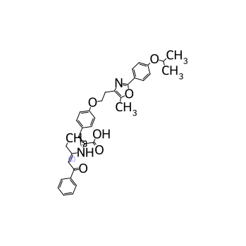 CC/C(=C/C(=O)c1ccccc1)N[C@@H](Cc1ccc(OCCc2nc(-c3ccc(OC(C)C)cc3)oc2C)cc1)C(=O)O